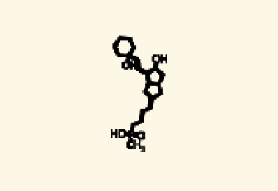 CP(=O)(O)CCCC=C1CC2CC(O)C(C=CC3(O)CCCCC3)C2C1